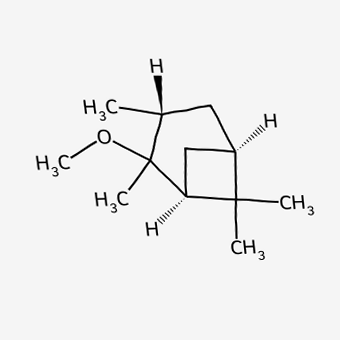 COC1(C)[C@H](C)C[C@@H]2C[C@H]1C2(C)C